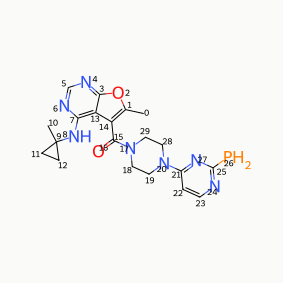 Cc1oc2ncnc(NC3(C)CC3)c2c1C(=O)N1CCN(c2ccnc(P)n2)CC1